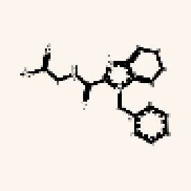 O=C(O)CNC(=O)c1nc2c(n1Cc1ccccc1)=CCCC=2